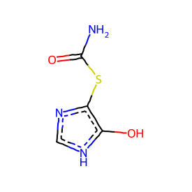 NC(=O)Sc1nc[nH]c1O